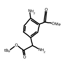 COC(=O)c1cc(C(N)C(=O)OC(C)(C)C)ccc1N